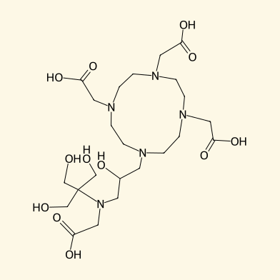 O=C(O)CN1CCN(CC(=O)O)CCN(CC(O)CN(CC(=O)O)C(CO)(CO)CO)CCN(CC(=O)O)CC1